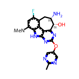 CNc1cc(F)c2c3c1[nH]c1nc(Oc4cnc(C)nc4)nc(c13)[C@@H](O)[C@@H](N)C2